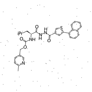 Cc1ccc(COC(=O)N[C@@H](CC(C)C)C(=O)NNC(=O)c2csc(-c3cccc4ccccc34)c2)cn1